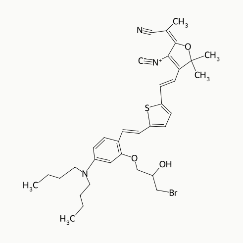 [C-]#[N+]C1=C(/C=C/c2ccc(/C=C/c3ccc(N(CCCC)CCCC)cc3OCC(O)CBr)s2)C(C)(C)O/C1=C(\C)C#N